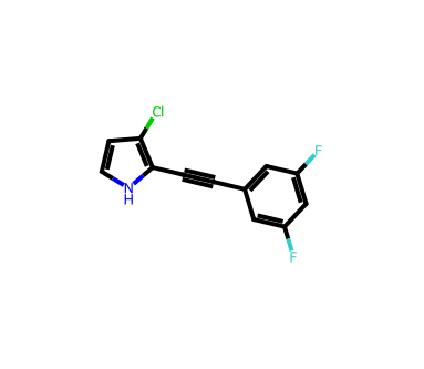 Fc1cc(F)cc(C#Cc2[nH]ccc2Cl)c1